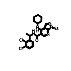 CCn1ncc2c(NC3CCCCC3)c(C(=O)NC(C)c3cccc(Cl)c3Cl)cnc21